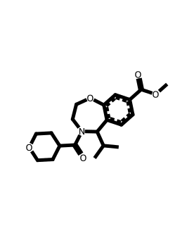 COC(=O)c1ccc2c(c1)OCCN(C(=O)C1CCOCC1)C2C(C)C